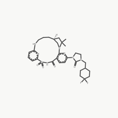 CC1(C)C[C@@H]2CCCNc3cccc(n3)S(=O)(=O)NC(=O)c3ccc(N4CCN(CC5CCC(F)(F)CC5)C4=O)nc3N1C2